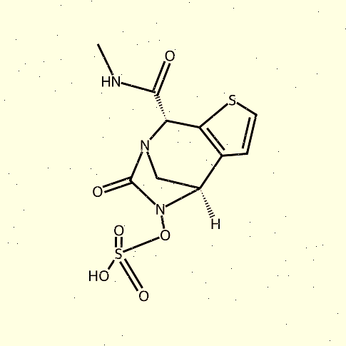 CNC(=O)[C@@H]1c2sccc2[C@@H]2CN1C(=O)N2OS(=O)(=O)O